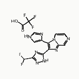 FC(F)c1n[nH]c(-c2nc3cnccn3c2-c2c[nH]cn2)n1.O=C(O)C(F)(F)F